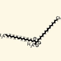 CCCCCCCCC=CCCCCCCCC(=O)C(C(C)=O)C(=O)CCCCCCCC=CCCCCCCCC